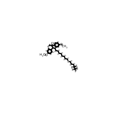 COc1ccc(C2(C)CSc3cc(OC)ccc3C2CCCCCCCCCSCCCC(F)(F)C(F)(F)F)cc1